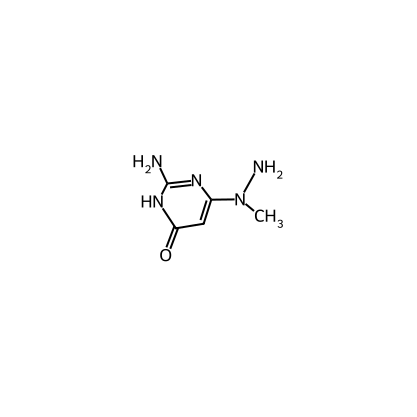 CN(N)c1cc(=O)[nH]c(N)n1